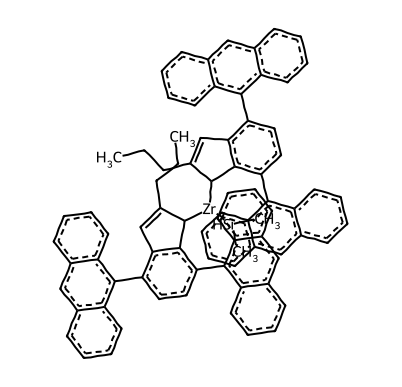 CCCC1=Cc2c(-c3c4ccccc4cc4ccccc34)ccc(-c3c4ccccc4cc4ccccc34)c2[CH]1[Zr]([CH]1C(CCC)=Cc2c(-c3c4ccccc4cc4ccccc34)ccc(-c3c4ccccc4cc4ccccc34)c21)[SiH](C)C